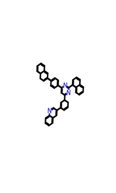 C1=CC2=CC(c3ccc(-c4cc(C5C=C(c6cnc7ccccc7c6)C=CC5)nc(-c5cccc6ccccc56)n4)cc3)=CCC2C=C1